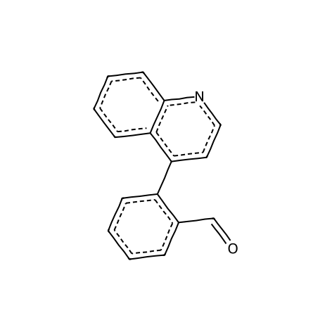 O=Cc1ccccc1-c1ccnc2ccccc12